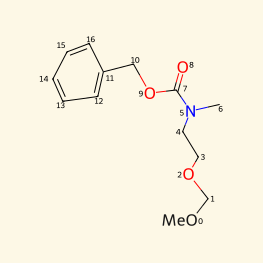 COCOCCN(C)C(=O)OCc1ccccc1